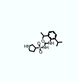 CC(C)c1cccc(C(C)C)c1NC(=O)NS(=O)(=O)C1CCNC1